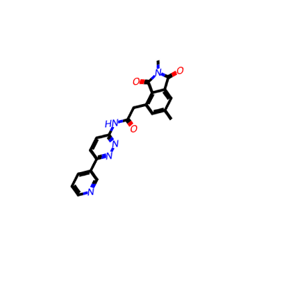 Cc1cc(CC(=O)Nc2ccc(-c3cccnc3)nn2)c2c(c1)C(=O)N(C)C2=O